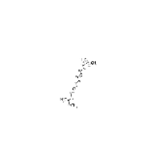 CCC(C)CCCOCCCCOCCCC(C)CC